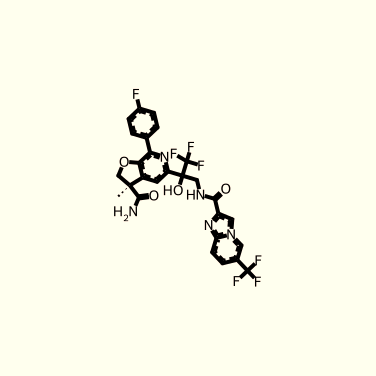 C[C@]1(C(N)=O)COc2c1cc(C(O)(CNC(=O)c1cn3cc(C(F)(F)F)ccc3n1)C(F)(F)F)nc2-c1ccc(F)cc1